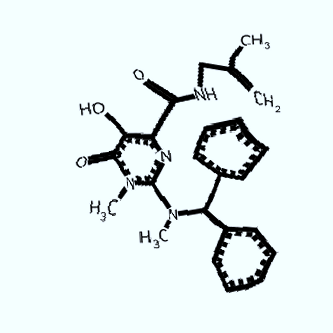 C=C(C)CNC(=O)c1nc(N(C)C(c2ccccc2)c2ccccc2)n(C)c(=O)c1O